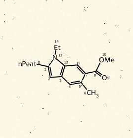 CCCCCc1cc2cc(C)c(C(=O)OC)cc2n1CC